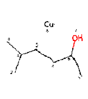 CC(C)CCC(C)O.[Cu]